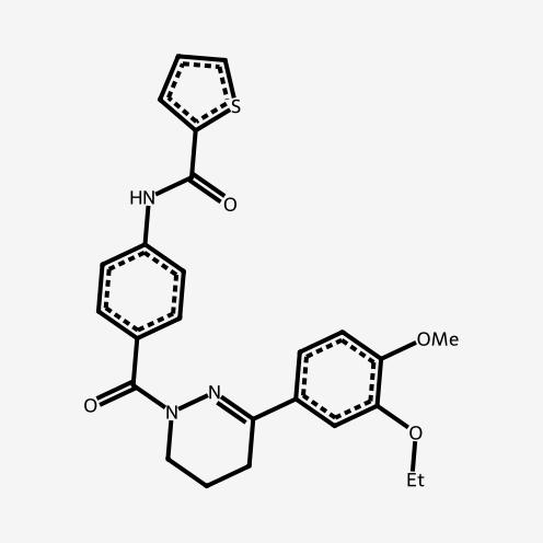 CCOc1cc(C2=NN(C(=O)c3ccc(NC(=O)c4cccs4)cc3)CCC2)ccc1OC